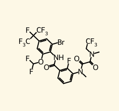 CN(CC(F)(F)F)C(=O)C(=O)N(C)c1cccc(C(=O)Nc2c(Br)cc(C(F)(C(F)(F)F)C(F)(F)F)cc2OC(F)F)c1F